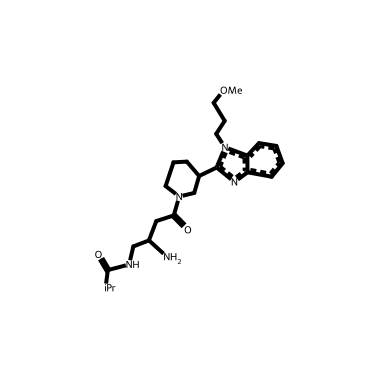 COCCCn1c(C2CCCN(C(=O)CC(N)CNC(=O)C(C)C)C2)nc2ccccc21